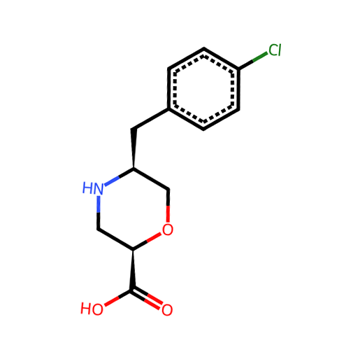 O=C(O)[C@H]1CN[C@@H](Cc2ccc(Cl)cc2)CO1